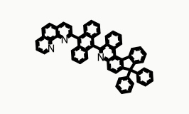 c1ccc(C2(c3ccccc3)c3ccccc3-c3c2ccc2nc(-c4c5ccccc5c(-c5ccc6ccc7cccnc7c6n5)c5ccccc45)c4ccccc4c32)cc1